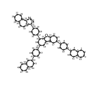 c1ccc2cc(-c3ccc(-c4ccc5oc6c(-c7ccc(-c8nnc9c%10ccccc%10ccn89)cc7)cc(-c7ccc(-c8ccc9ccccc9c8)cc7)cc6c5c4)cc3)ccc2c1